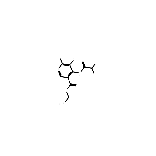 CCOC(=O)c1cnc(Cl)c(F)c1NC(=O)C(Cl)Cl